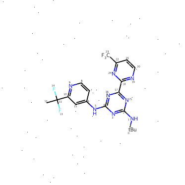 CC(C)(C)Nc1nc(Nc2ccnc(C(C)(F)F)c2)nc(-c2nccc(C(F)(F)F)n2)n1